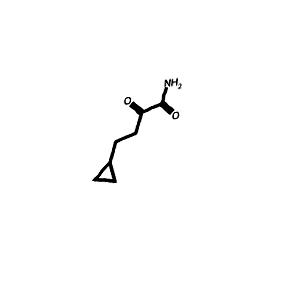 NC(=O)C(=O)CCC1CC1